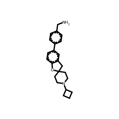 NCc1ccc(-c2ccc3c(c2)CC2(CCN(C4CCC4)CC2)O3)cc1